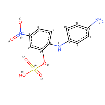 Nc1ccc(Nc2ccc([N+](=O)[O-])cc2OS(=O)(=O)O)cc1